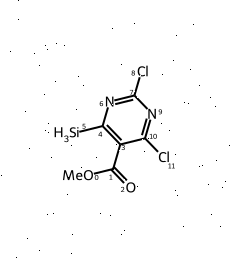 COC(=O)c1c([SiH3])nc(Cl)nc1Cl